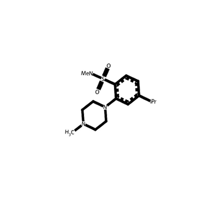 CNS(=O)(=O)c1ccc(C(C)C)cc1N1CCN(C)CC1